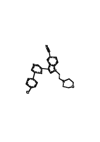 N#Cc1ccc2c(c1)c(-c1cncc(-c3ccc(Cl)cc3)c1)cn2CCN1CCOCC1